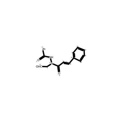 CC(C)C(=O)NN(C[C]=O)C(=O)/C=C/c1ccccc1